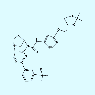 CC1(C)OC[C@@H](COc2cc(NC(=O)N3c4nc(-c5cccc(C(F)(F)F)c5)ncc4N4CCC3C4)ncn2)O1